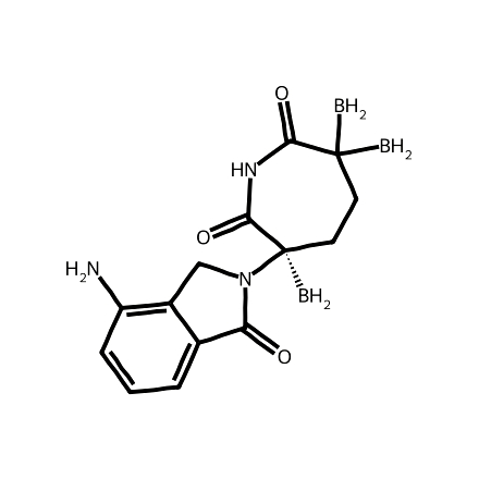 BC1(B)CC[C@@](B)(N2Cc3c(N)cccc3C2=O)C(=O)NC1=O